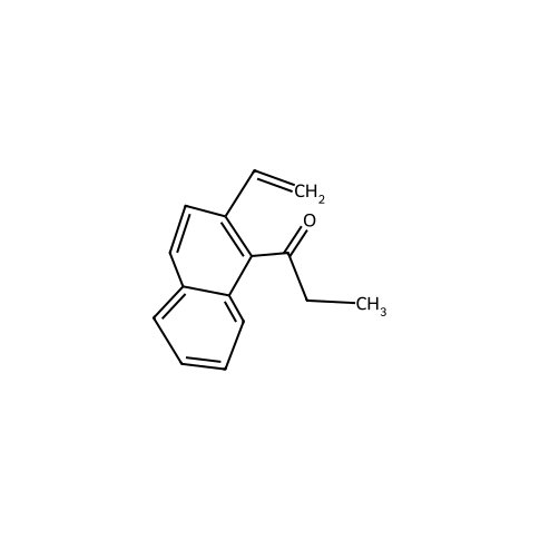 C=Cc1ccc2ccccc2c1C(=O)CC